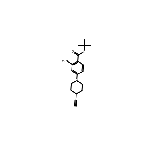 C#CC1CCN(c2ccc(C(=O)OC(C)(C)C)c(N)c2)CC1